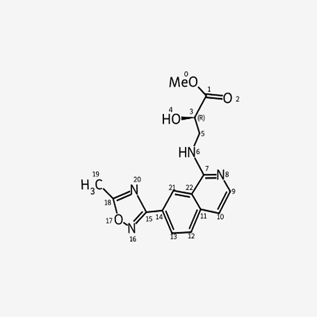 COC(=O)[C@H](O)CNc1nccc2ccc(-c3noc(C)n3)cc12